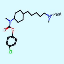 CCCCCN(C)CCCCCC1CCC(N(C)C(=O)Oc2ccc(Cl)cc2)CC1